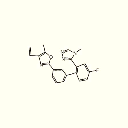 C=Cc1nc(-c2cccc(-c3ccc(F)cc3-c3nncn3C)c2)oc1C